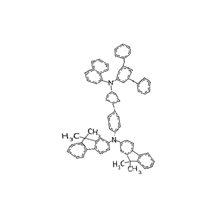 CC1(C)c2ccccc2-c2ccc(N(c3ccc(-c4ccc(N(c5cc(-c6ccccc6)cc(-c6ccccc6)c5)c5cccc6ccccc56)cc4)cc3)c3ccc4c(c3)C(C)(C)c3ccccc3-4)cc21